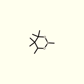 CB1OC(C)C(C)(C)C(C)(C)O1